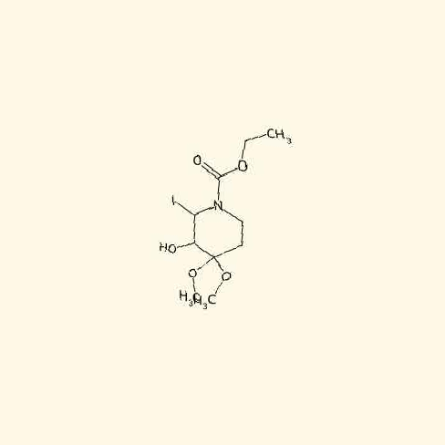 CCOC(=O)N1CCC(OC)(OC)C(O)C1I